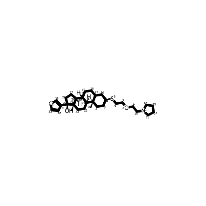 C[C@]12CC[C@H](SCCOCCN3CCCC3)CC1CC[C@@H]1[C@@H]2CC[C@@]2(C)[C@H]1CC[C@@]2(O)c1ccoc1